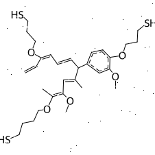 C=C/C(=C\C=C\C(/C(C)=C/C(OC)=C(\C)OCCCCS)c1ccc(OCCCS)c(OC)c1)OCCCS